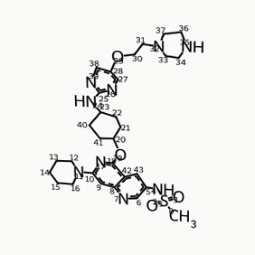 CS(=O)(=O)Nc1cnc2cc(N3CCCCC3)nc(OC3CCC(Nc4ncc(OCCN5CCNCC5)cn4)CC3)c2c1